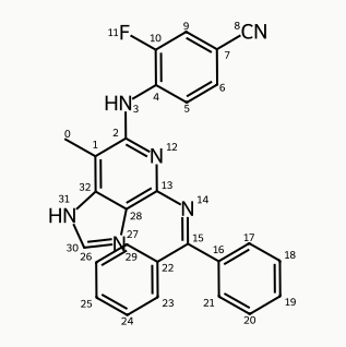 Cc1c(Nc2ccc(C#N)cc2F)nc(N=C(c2ccccc2)c2ccccc2)c2nc[nH]c12